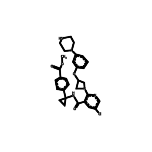 COC(=O)c1ccc(C2(NC(=O)c3cc(Cl)cnc3N3CC(Oc4cccc(N5CCNCC5)c4)C3)CC2)cc1